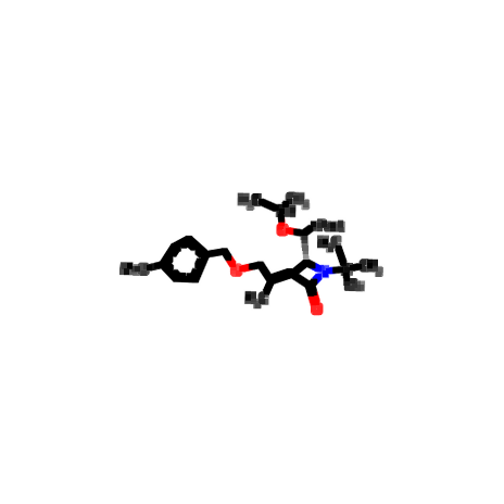 CCCCCC(O[SiH](C)C)[C@H]1/C(=C(/C)COCc2ccc(OC)cc2)C(=O)N1[Si](C)(C)C(C)(C)C